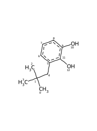 CC(C)(C)Cc1cccc(O)c1O